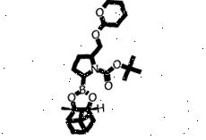 CC(C)(C)OC(=O)N1C(COC2CCCCO2)CCC1B1O[C@@H]2CC3CC(C3(C)C)[C@]2(C)O1